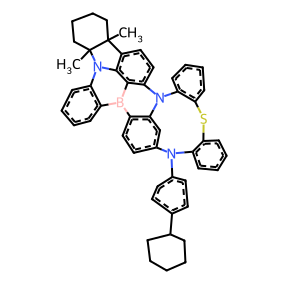 CC12CCCCC1(C)N1c3ccccc3B3c4ccc5cc4N(c4ccccc4Sc4ccccc4N5c4ccc(C5CCCCC5)cc4)c4ccc2c1c43